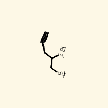 C#CCC(N)CC(=O)O.Cl